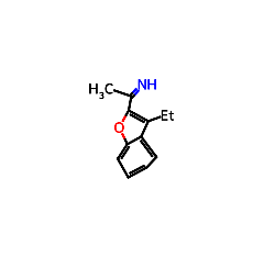 CCc1c(C(C)=N)oc2ccccc12